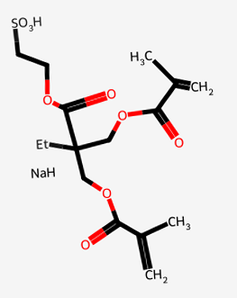 C=C(C)C(=O)OCC(CC)(COC(=O)C(=C)C)C(=O)OCCS(=O)(=O)O.[NaH]